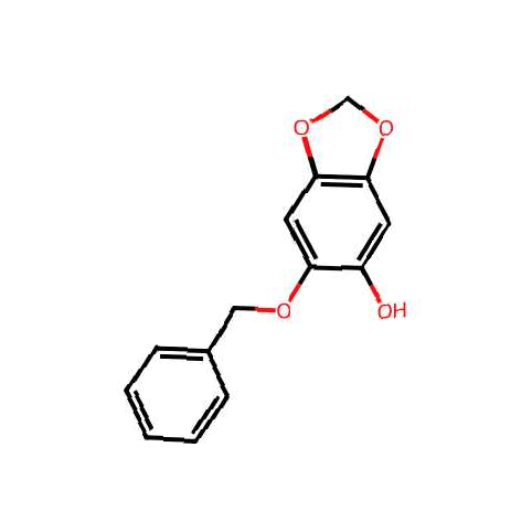 Oc1cc2c(cc1OCc1ccccc1)OCO2